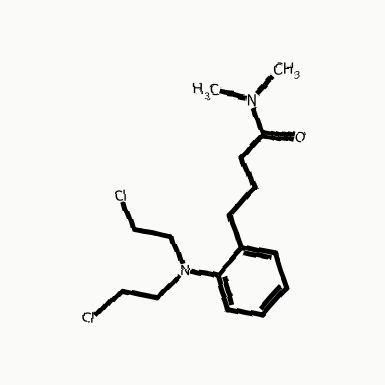 CN(C)C(=O)CCCc1ccccc1N(CCCl)CCCl